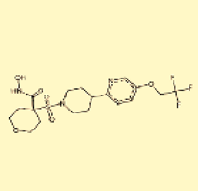 O=C(NO)C1(S(=O)(=O)N2CCC(c3ccc(OCC(F)(F)F)cn3)CC2)CCOCC1